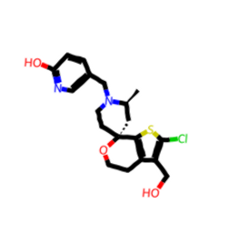 C[C@H]1C[C@@]2(CCN1Cc1ccc(O)nc1)OCCc1c2sc(Cl)c1CO